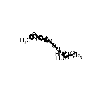 Cc1ccc2c(c1)N=C(c1ccc(-c3ccc(OCCOCCOCCNC(=O)CC(C)(C)OCCC(C)C)nc3)cc1)CO2